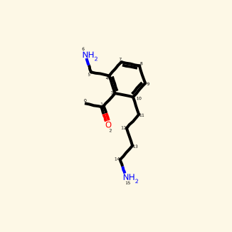 CC(=O)c1c(CN)cccc1CCCCN